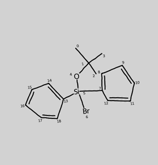 CC(C)(C)O[Si](Br)(c1ccccc1)c1ccccc1